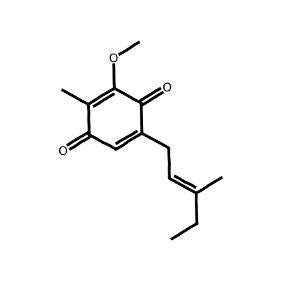 CC/C(C)=C/CC1=CC(=O)C(C)=C(OC)C1=O